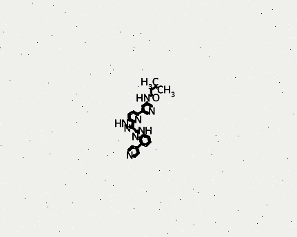 CC(C)CC(=O)Nc1cncc(-c2ccc3[nH]nc(-c4nc5c(-c6ccncc6)cccc5[nH]4)c3n2)c1